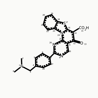 CN(C)Cc1ccc(-c2ncc3c(=O)c(C(=O)O)c4sc5ccccc5n4c3n2)cc1